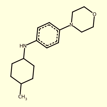 CC1CCC(Nc2ccc(N3CCOCC3)cc2)CC1